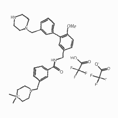 COc1ccc(CNC(=O)c2cccc(CN3CC[N+](C)(C)CC3)c2)cc1-c1cccc(CN2CCNCC2)c1.O=C(O)C(F)(F)F.O=C([O-])C(F)(F)F